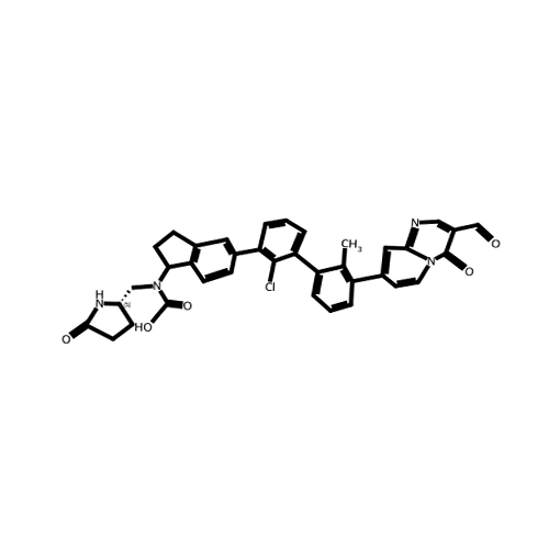 Cc1c(-c2ccn3c(=O)c(C=O)cnc3c2)cccc1-c1cccc(-c2ccc3c(c2)CCC3N(C[C@@H]2CCC(=O)N2)C(=O)O)c1Cl